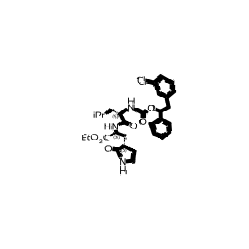 CCOC(=O)[C@H](C[C@@H]1CCNC1=O)NC(=O)[C@H](CC(C)C)NC(=O)OC(Cc1cccc(Cl)c1)c1ccccc1